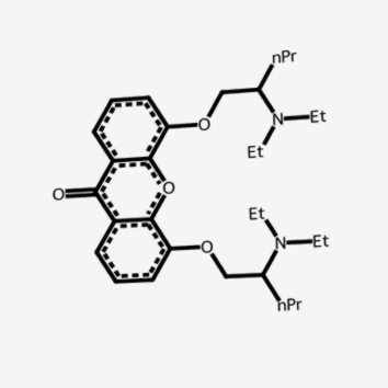 CCCC(COc1cccc2c(=O)c3cccc(OCC(CCC)N(CC)CC)c3oc12)N(CC)CC